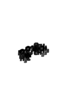 CCCCCc1c(C)n(C(C)(C)C)c(=O)n1Cc1ccc(-c2ccncc2-c2nnn[nH]2)cc1